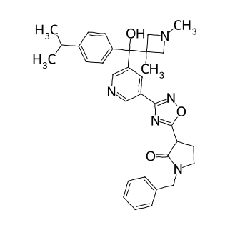 CC(C)c1ccc(C(O)(c2cncc(-c3noc(C4CCN(Cc5ccccc5)C4=O)n3)c2)C2(C)CN(C)C2)cc1